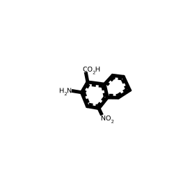 Nc1cc([N+](=O)[O-])c2ccccc2c1C(=O)O